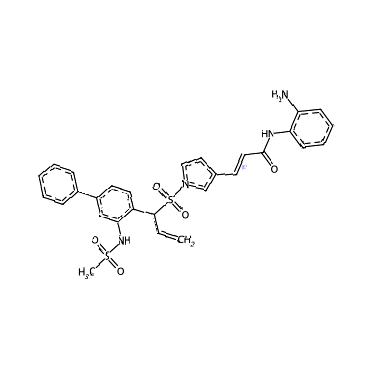 C=CC(c1ccc(-c2ccccc2)cc1NS(C)(=O)=O)S(=O)(=O)n1ccc(/C=C/C(=O)Nc2ccccc2N)c1